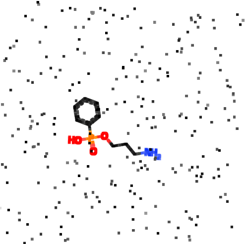 NCCCOP(=O)(O)c1ccccc1